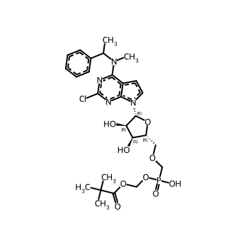 CC(c1ccccc1)N(C)c1nc(Cl)nc2c1ccn2[C@@H]1O[C@H](COCP(=O)(O)OCOC(=O)C(C)(C)C)[C@@H](O)[C@H]1O